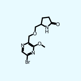 COc1nc(Br)cnc1COCC1CCC(=O)N1